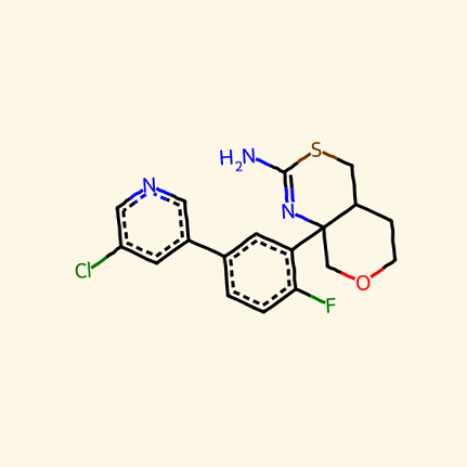 NC1=NC2(c3cc(-c4cncc(Cl)c4)ccc3F)COCCC2CS1